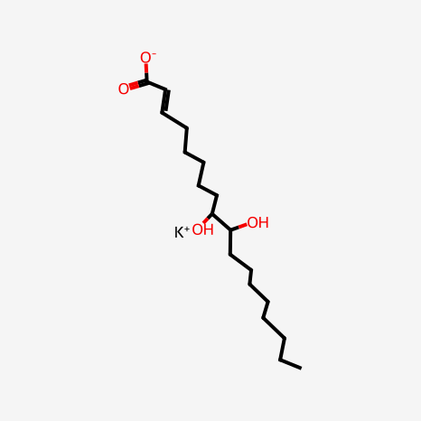 CCCCCCCCC(O)C(O)CCCCCC=CC(=O)[O-].[K+]